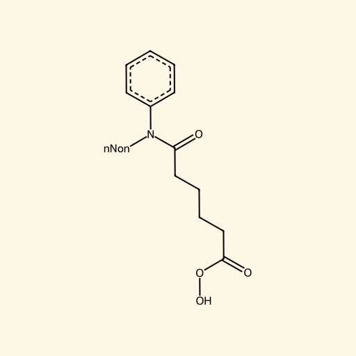 CCCCCCCCCN(C(=O)CCCCC(=O)OO)c1ccccc1